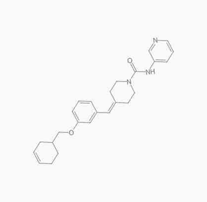 O=C(Nc1cccnc1)N1CCC(=Cc2cccc(OCC3CC=CCC3)c2)CC1